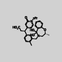 CCCn1ccc(C(CC(=O)O)c2ccc(C)c(CN3C[C@@H](C)Oc4ccccc4S3(O)O)c2)cc1=O